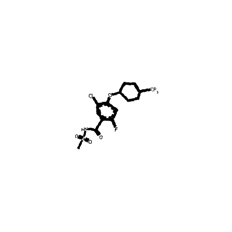 CS(=O)(=O)NC(=O)c1cc(Cl)c(OC2CCC(C(F)(F)F)CC2)cc1F